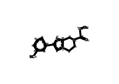 CC(C)(C)OC(=O)N1CCn2cc(-c3cccc(C#N)c3)nc2C1